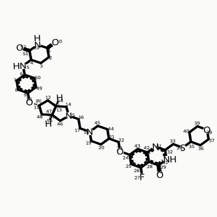 O=C1CCC(Nc2ccc(O[C@@H]3C[C@@H]4CN(CCN5CCC(COc6cc(F)c7c(=O)[nH]c(CSC8CCOCC8)nc7c6)CC5)C[C@@H]4C3)cc2)C(=O)N1